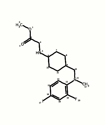 COC(=O)CNC1CCC(CN(C)c2ccc(I)cc2F)CC1